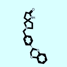 O=C1CCC2(CCN(Cc3ccc([C@H]4COc5ccccc5O4)cc3)C2)N1